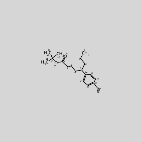 CCCC(CCCC(=O)OC(C)(C)C)c1ccc(Br)cc1